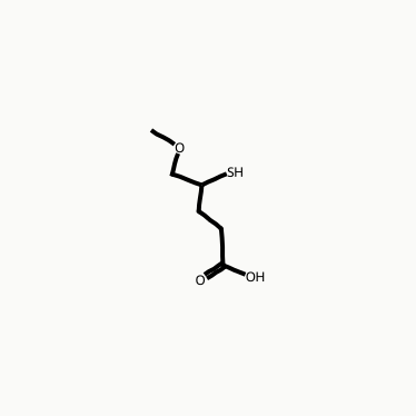 COCC(S)CCC(=O)O